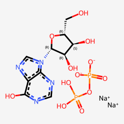 O=P([O-])([O-])OP(=O)(O)O.OC[C@H]1O[C@@H](n2cnc3c(O)ncnc32)[C@H](O)[C@@H]1O.[Na+].[Na+]